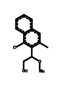 Cc1cc2ccccc2c(Cl)c1C(CO)OC(C)(C)C